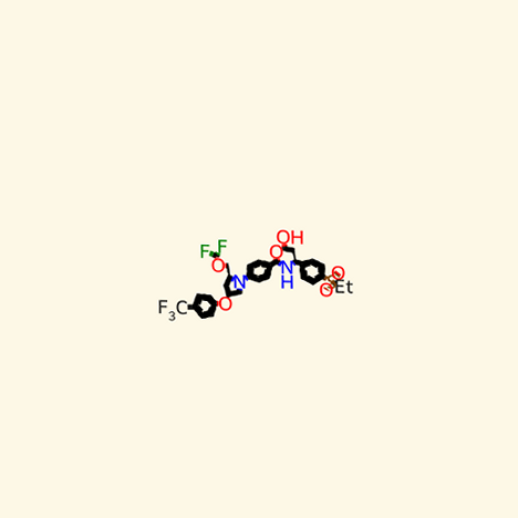 CCS(=O)(=O)c1ccc([C@H](CCO)NC(=O)c2ccc(N3C[C@@H](Oc4ccc(C(F)(F)F)cc4)C[C@H]3COC(F)F)cc2)cc1